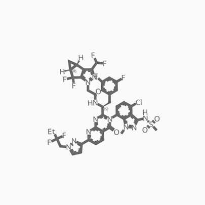 CCC(F)(F)Cn1ccc(-c2ccc3c(=O)n(-c4ccc(Cl)c5c(NS(C)(=O)=O)nn(C)c45)c([C@H](Cc4cc(F)cc(F)c4)NC(=O)Cn4nc(C(F)F)c5c4C(F)(F)[C@@H]4C[C@H]54)nc3n2)n1